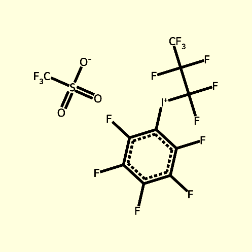 Fc1c(F)c(F)c([I+]C(F)(F)C(F)(F)C(F)(F)F)c(F)c1F.O=S(=O)([O-])C(F)(F)F